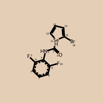 O=C(Nc1c(F)cccc1F)[SeH]1[C]=CC=C1Br